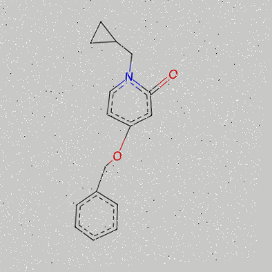 O=c1cc(OCc2ccccc2)ccn1CC1CC1